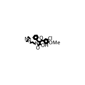 COc1ccc(C(=O)C2=C(O)C(=O)N(CCCN3C=NCC3)C2c2ccccc2)cc1Cl